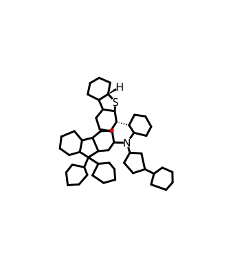 C1CCC(C2CCC(N(C3CCC4C5CCCCC5C(C5CCCCC5)(C5CCCCC5)C4C3)C3CCCCC3[C@@H]3CCCC4C3S[C@H]3CCCCC43)C2)CC1